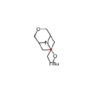 CCC(C)OC1CC2COCC(C1)N2CCF